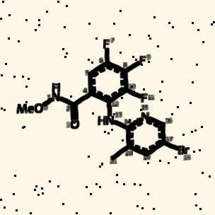 CONC(=O)c1cc(F)c(F)c(F)c1Nc1ncc(Br)cc1C